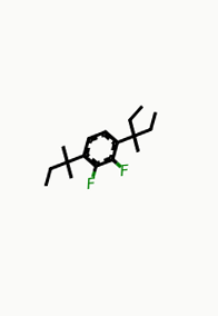 CCC(C)(C)c1ccc(C(C)(CC)CC)c(F)c1F